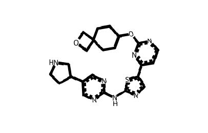 c1cc(-c2cnc(Nc3ncc(C4CCNC4)cn3)s2)nc(OC2CCC3(CC2)COC3)n1